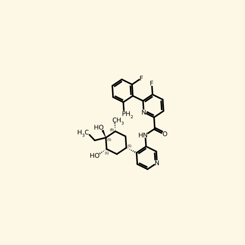 CC[C@]1(O)[C@H](C)C[C@H](c2ccncc2NC(=O)c2ccc(F)c(-c3c(F)cccc3P)n2)C[C@@H]1O